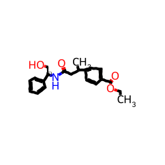 CCOC(=O)c1ccc(C(C)CC(=O)N[C@H](CO)c2ccccc2)cc1